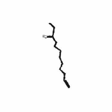 C=CCCCCCCCC(O)CC